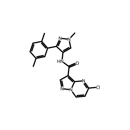 Cc1ccc(C)c(-c2nn(C)cc2NC(=O)c2cnn3ccc(Cl)nc23)c1